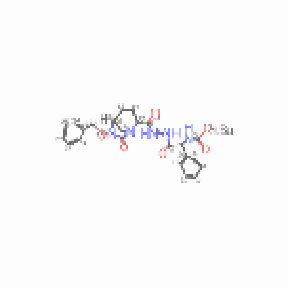 CC(C)(C)OC(=O)NC(C(=O)NNC(=O)[C@@H]1CC[C@H]2CN1C(=O)N2OCc1ccccc1)c1ccccc1